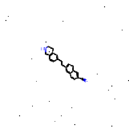 N#Cc1ccc2cc(C=Cc3ccc4c(c3)CCNC4)ccc2c1